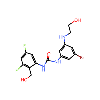 O=C(Nc1cc(Br)cc(NCCO)c1)Nc1cc(F)cc(F)c1CO